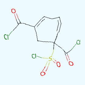 O=C(Cl)C1=CC=CC(C(=O)Cl)(S(=O)(=O)Cl)C1